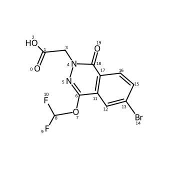 O=C(O)Cn1nc(OC(F)F)c2cc(Br)ccc2c1=O